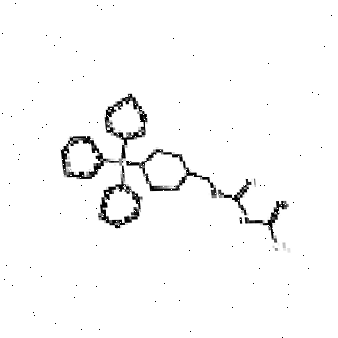 CC(=N)NC(=N)NCC1CCC([PH](c2ccccc2)(c2ccccc2)c2ccccc2)CC1